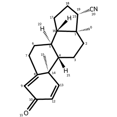 C[C@]12CC[C@H]3[C@@H](CCC4=CC(=O)C=C[C@@]43C)[C@@H]1CC[C@@H]2C#N